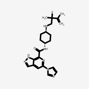 C=C(C)C(C)(F)CN[C@H]1CC[C@H](NC(=O)c2nc(-n3ccnc3)cc3cn[nH]c23)CC1